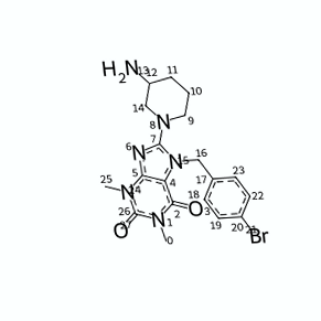 Cn1c(=O)c2c(nc(N3CCCC(N)C3)n2Cc2ccc(Br)cc2)n(C)c1=O